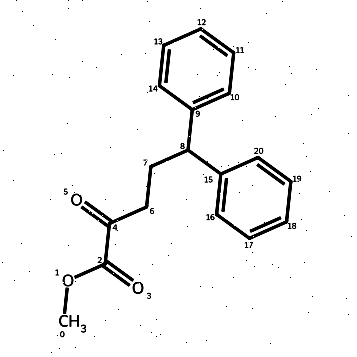 COC(=O)C(=O)CCC(c1ccccc1)c1ccccc1